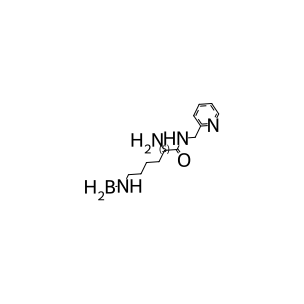 BNCCCC[C@H](N)C(=O)NCc1ccccn1